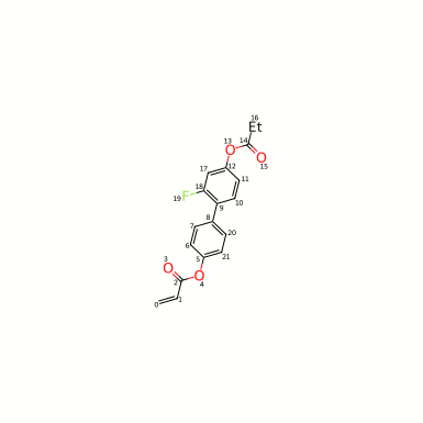 C=CC(=O)Oc1ccc(-c2ccc(OC(=O)CC)cc2F)cc1